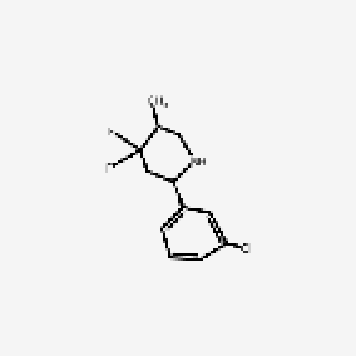 CC1CN[C@@H](c2cccc(Cl)c2)CC1(F)F